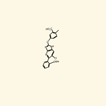 COc1ccccc1-c1nc2nc(Oc3ccc(C)c(C(=O)O)c3)[nH]c2cc1Cl